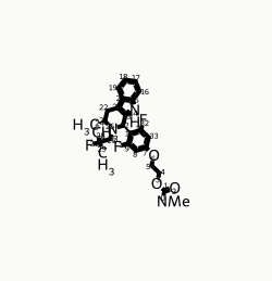 CNC(=O)OCCOc1cc(F)c([C@@H]2c3[nH]c4ccccc4c3C[C@@H](C)N2CC(C)(C)F)c(F)c1